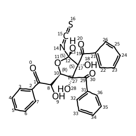 O=C(c1ccccc1)C(O)[C@H]1O[C@](O)(N=C=S)[C@@](O)(C(=O)c2ccccc2)[C@@]1(O)C(=O)c1ccccc1